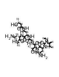 C=NN(C(=C)CC)C(=O)N[C@@H](CCN)C(=O)N[C@H](C(=O)NCC(=O)N[C@@H](CCNC(=O)C[C@@H](C)O)C(=O)N[C@@H](CCN)C(=O)NC)[C@@H](C)O